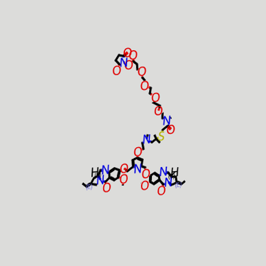 C/C=C1\C[C@H]2C=Nc3cc(OCc4cc(OCCN(C)CC(C)(C)SCC(=O)N(C)CCOCCOCCOCCOCCC(=O)ON5C(=O)CCC5=O)cc(COc5cc6c(cc5OC)C(=O)N5C/C(=C/C)C[C@H]5C=N6)n4)c(OC)cc3C(=O)N2C1